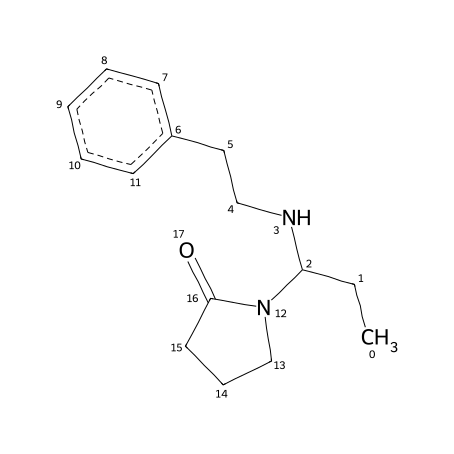 CCC(NCCc1ccccc1)N1CCCC1=O